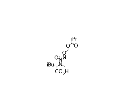 CC[C@@H](C)[C@@H](C(=O)O)N(C)[N+]([O-])=NOCOC(=O)C(C)C